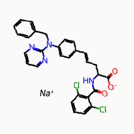 O=C(NC(C/C=C/c1ccc(N(Cc2ccccc2)c2ncccn2)cc1)C(=O)[O-])c1c(Cl)cccc1Cl.[Na+]